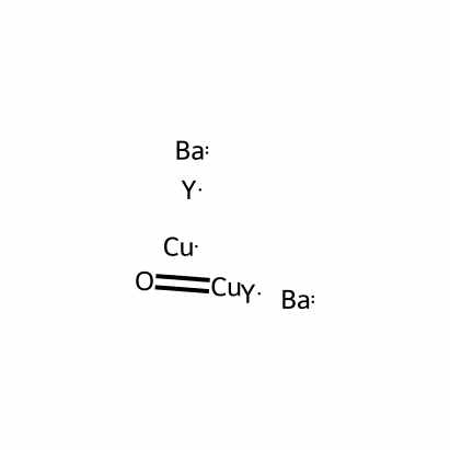 [Ba].[Ba].[Cu].[O]=[Cu].[Y].[Y]